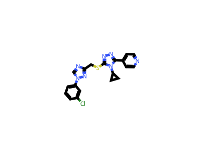 Clc1cccc(-n2cnc(CSc3nnc(-c4ccncc4)n3C3CC3)n2)c1